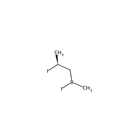 CB(I)C[C@H](C)I